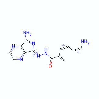 C=C(/C=C\C=C/N)C(=O)N/N=C1\N=C(N)c2nccnc21